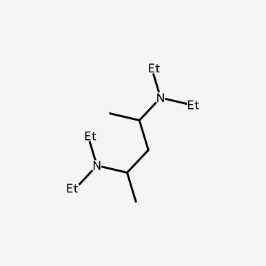 CCN(CC)C(C)CC(C)N(CC)CC